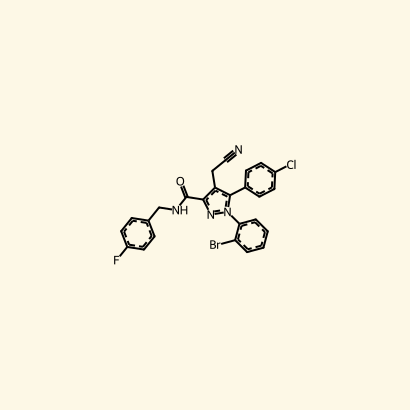 N#CCc1c(C(=O)NCc2ccc(F)cc2)nn(-c2ccccc2Br)c1-c1ccc(Cl)cc1